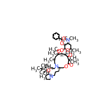 CO[C@]1(C)C[C@@H](C)CN(CCO[Si](C)(C)C(C)(C)C)[C@H](CCCN2CCCC2)COC(=O)C(C)(C)C(=O)[C@H](C)[C@H]1O[C@H]1O[C@H](C)C[C@@H](N(C)C)[C@H]1OC(=O)c1ccccc1